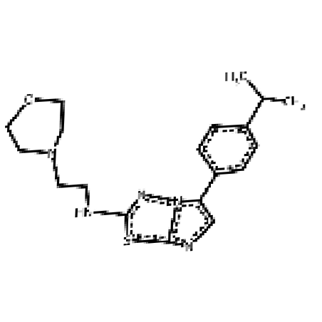 CC(C)c1ccc(-c2cnc3sc(NCCN4CCOCC4)nn23)cc1